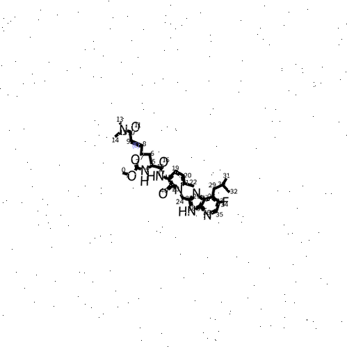 COC(=O)NC(CC/C=C/C(=O)N(C)C)C(=O)Nc1ccc(C)n(Cc2nc3c(CC(C)C)c(F)cnc3[nH]2)c1=O